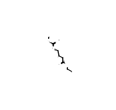 CCOC(=O)CCCNC(=O)NC